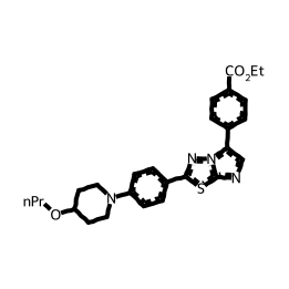 CCCOC1CCN(c2ccc(-c3nn4c(-c5ccc(C(=O)OCC)cc5)cnc4s3)cc2)CC1